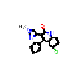 Cn1cnc(-c2c(-c3ccccc3)c3cc(Cl)ccc3[nH]c2=O)c1